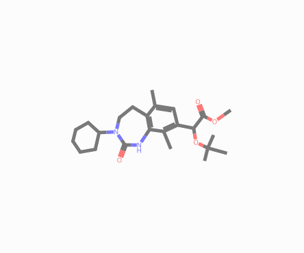 COC(=O)C(OC(C)(C)C)c1cc(C)c2c(c1C)NC(=O)N(C1CCCCC1)CC2